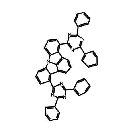 c1ccc(-c2nc(-c3ccccc3)nc(-c3cccc4c3c3cccc5c6c(-c7nc(-c8ccccc8)nc(-c8ccccc8)n7)cccc6n4c35)n2)cc1